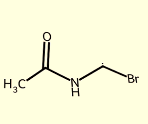 CC(=O)N[CH]Br